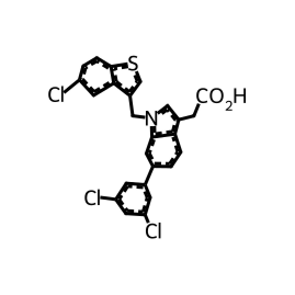 O=C(O)Cc1cn(Cc2csc3ccc(Cl)cc23)c2cc(-c3cc(Cl)cc(Cl)c3)ccc12